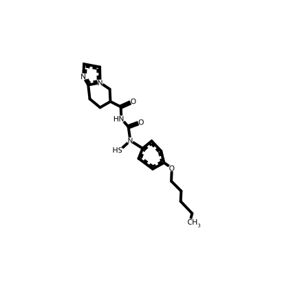 CCCCCOc1ccc(N(S)C(=O)NC(=O)C2CCc3nccn3C2)cc1